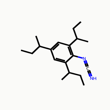 CCC(C)c1cc(C(C)CC)c(N=C=N)c(C(C)CC)c1